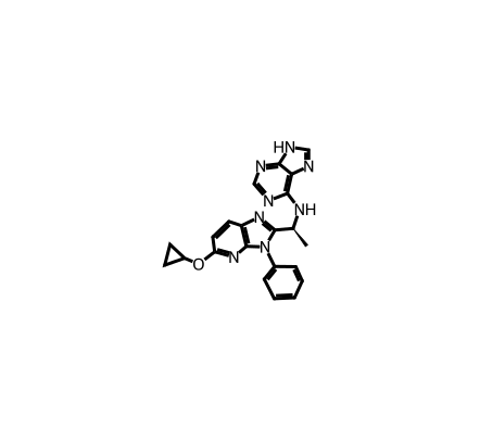 C[C@H](Nc1ncnc2[nH]cnc12)c1nc2ccc(OC3CC3)nc2n1-c1ccccc1